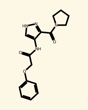 O=C(COc1ccccc1)Nc1c[nH]nc1C(=O)N1CCCC1